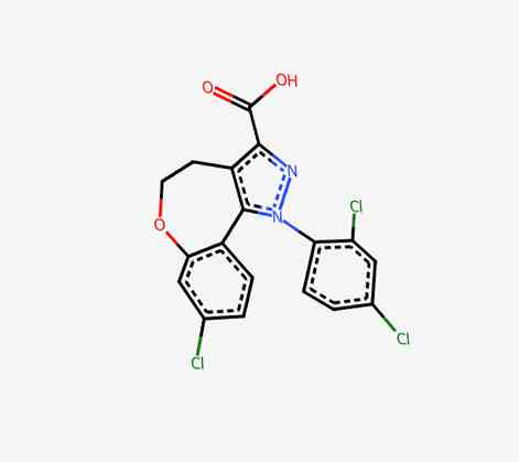 O=C(O)c1nn(-c2ccc(Cl)cc2Cl)c2c1CCOc1cc(Cl)ccc1-2